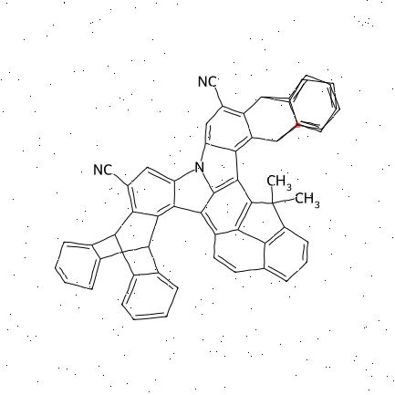 CC1(C)c2cccc3ccc4c(c1c1c5c6c(c(C#N)cc5n5c7cc(C#N)c8c(c7c4c15)C1c4ccccc4C14c1ccccc1C84)C1c4ccccc4C6c4ccccc41)c23